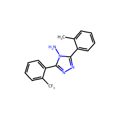 Cc1ccccc1-c1nnc(-c2ccccc2C(F)(F)F)n1N